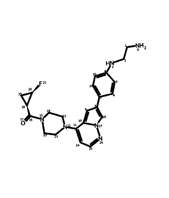 NCCNc1ccc(-c2cc3c(N4CCN(C(=O)[C@H]5C[C@H]5F)CC4)ccnn3c2)cc1